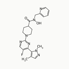 Cc1cnn(C)c1-c1nc(N2CCC(C(=O)N(O)Cc3ccccn3)CC2)ncc1F